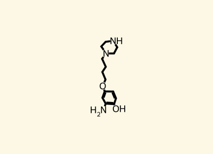 Nc1cc(OCCCCN2CCNCC2)ccc1O